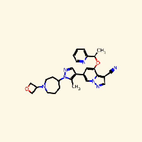 Cc1c(-c2cc(O[C@H](C)c3ccccn3)c3c(C#N)cnn3c2)cnn1C1CCCN(C2COC2)CC1